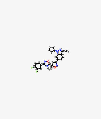 Cc1nn(C2CCCC2)c2cc(C3=NOC(C)(c4nc(-c5ccc(F)c(F)c5)no4)C3)ccc12